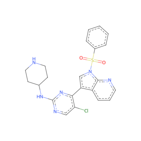 O=S(=O)(c1ccccc1)n1cc(-c2nc(NC3CCNCC3)ncc2Cl)c2cccnc21